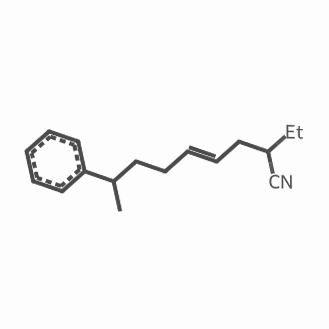 CCC(C#N)CC=CCCC(C)c1ccccc1